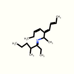 C/C=C/C=C(\C=C/CC)C(C)/N=C(\CC)C(C)CCC